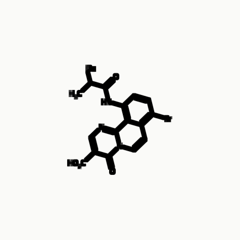 CCC(C)C(C)C(=O)Nc1ccc(Br)c2ccn3c(=O)c(C(=O)O)cnc3c12